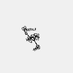 C=C(C)C(=O)OC(=O)Oc1ccc(C#Cc2cc(OC(=O)OC(=O)C(=C)C)c(C#Cc3ccc(CC(=O)OC(=O)C(C)(C)C)cc3)c(OC(=O)C(=C)C)c2)cc1